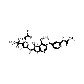 COc1c(Oc2ccnc(NC(C)=O)c2)cnc2nc(Nc3cc(C(C)(C)C)n(CC(F)F)n3)n(C)c12